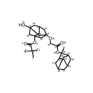 CC(F)(F)C(=O)OC12CC3CC(O)(CC(OCC(=O)OC4(C)C5CC6CC(C5)CC4C6)(C3)C1)C2